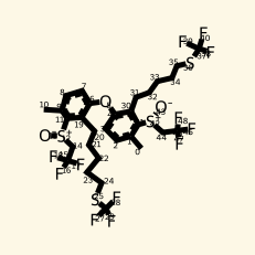 Cc1ccc(Oc2ccc(C)c([S+]([O-])CC(F)(F)F)c2CCCCCSC(F)(F)F)c(CCCCCSC(F)(F)F)c1[S+]([O-])CC(F)(F)F